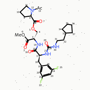 COC(=O)[C@H](COC(=O)C1CCCN1C(C)=O)NC(=O)[C@H](Cc1cc(F)cc(F)c1)NC(=O)NCCC1CCCC1